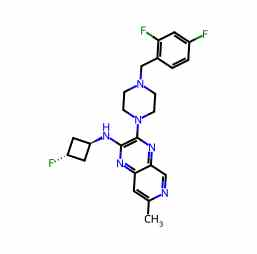 Cc1cc2nc(N[C@H]3C[C@H](F)C3)c(N3CCN(Cc4ccc(F)cc4F)CC3)nc2cn1